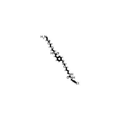 CCC#CCNC(=O)NCCCCOCSSc1ccc(CC(=O)NCCOCCOOCCN)cc1